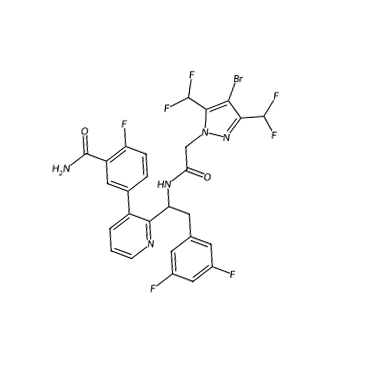 NC(=O)c1cc(-c2cccnc2C(Cc2cc(F)cc(F)c2)NC(=O)Cn2nc(C(F)F)c(Br)c2C(F)F)ccc1F